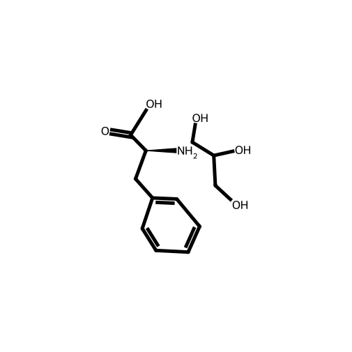 N[C@@H](Cc1ccccc1)C(=O)O.OCC(O)CO